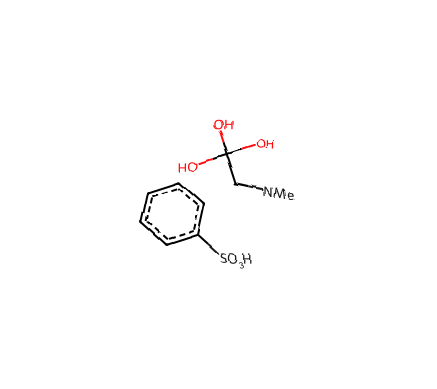 CNCC(O)(O)O.O=S(=O)(O)c1ccccc1